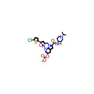 COC(=O)Oc1cnc2c(c1)cc(C(=O)NC1CCN(C(C)C)CC1)n2Cc1cc(-c2ccc(Cl)s2)on1